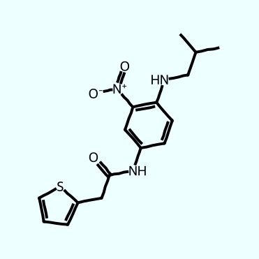 CC(C)CNc1ccc(NC(=O)Cc2cccs2)cc1[N+](=O)[O-]